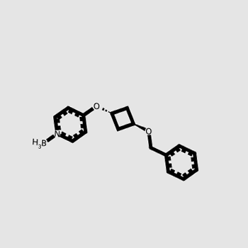 [BH3-][n+]1ccc(O[C@H]2C[C@H](OCc3ccccc3)C2)cc1